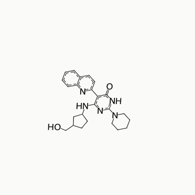 O=c1[nH]c(N2CCCCC2)nc(NC2CCC(CO)C2)c1-c1ccc2ccccc2n1